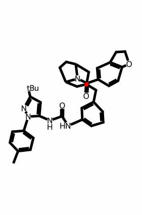 Cc1ccc(-n2nc(C(C)(C)C)cc2NC(=O)Nc2cccc(CC3CC4CCC(C3)N4C(=O)c3ccc4c(c3)CCO4)c2)cc1